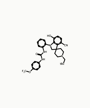 CC(C)(C)CN1CCC2(CC1)CN(c1ccccc1NC(=O)Nc1ccc(OC(F)(F)F)cc1)c1c(O)ccc(C#N)c12